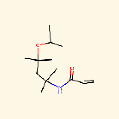 C=CC(=O)NC(C)(C)CC(C)(C)OC(C)C